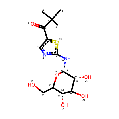 CC(C)(C)C(=O)c1cnc(N[C@H]2OC(CO)[C@@H](O)C(O)[C@H]2O)s1